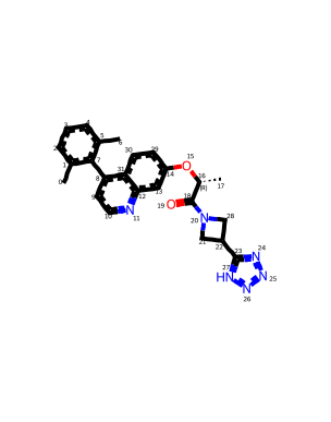 Cc1cccc(C)c1-c1ccnc2cc(O[C@H](C)C(=O)N3CC(c4nnn[nH]4)C3)ccc12